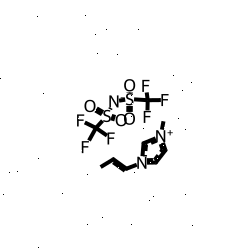 CC=Cn1cc[n+](C)c1.O=S(=O)([N-]S(=O)(=O)C(F)(F)F)C(F)(F)F